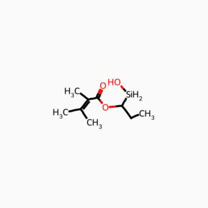 CCC(OC(=O)C(C)=C(C)C)[SiH2]O